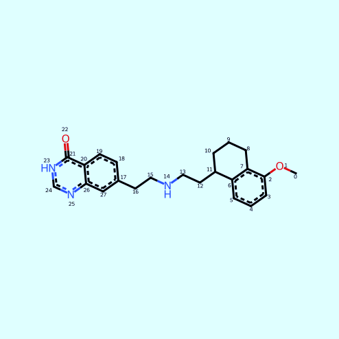 COc1cccc2c1CCCC2CCNCCc1ccc2c(=O)[nH]cnc2c1